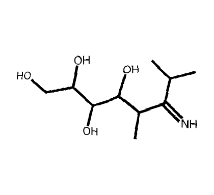 CC(C)C(=N)C(C)C(O)C(O)C(O)CO